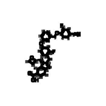 N#Cc1ccc(OCc2nccc(Oc3ccc(Cc4nc5ccc(C(=O)O)cc5n4C[C@@H]4CCO4)c(F)c3)n2)c(F)c1